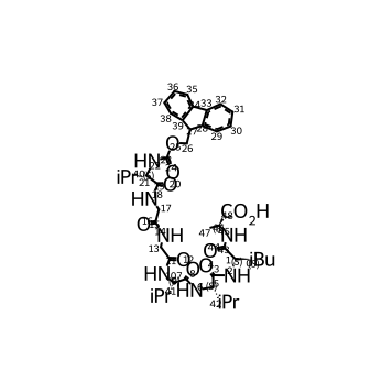 CC[C@H](C)[C@H](NC(=O)[C@@H](NC(=O)[C@@H](NC(=O)CNC(=O)CNC(=O)[C@@H](NC(=O)OCC1c2ccccc2-c2ccccc21)C(C)C)C(C)C)C(C)C)C(=O)N[C@@H](C)C(=O)O